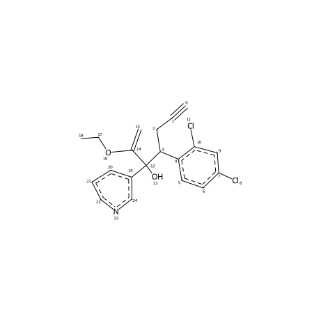 C#CCC(c1ccc(Cl)cc1Cl)C(O)(C(=C)OCC)c1cccnc1